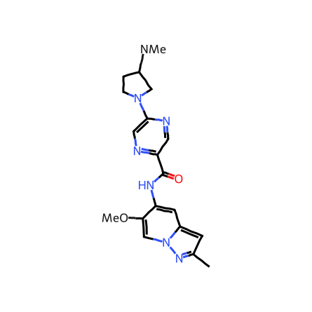 CNC1CCN(c2cnc(C(=O)Nc3cc4cc(C)nn4cc3OC)cn2)C1